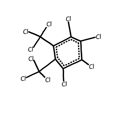 Clc1c(Cl)c(Cl)c(C(Cl)(Cl)Cl)c(C(Cl)(Cl)Cl)c1Cl